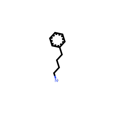 [N]CCCCc1ccccc1